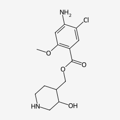 COc1cc(N)c(Cl)cc1C(=O)OCC1CCNCC1O